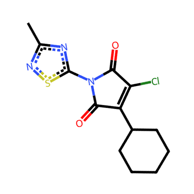 Cc1nsc(N2C(=O)C(Cl)=C(C3CCCCC3)C2=O)n1